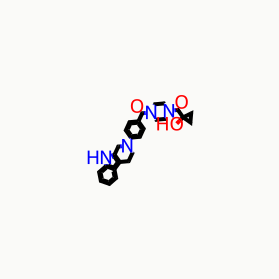 O=C(c1ccc(N2CCc3c([nH]c4ccccc34)C2)cc1)N1CCN(C(=O)C2(O)CC2)CC1